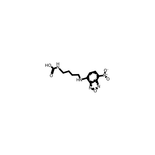 O=C(O)NCCCCNc1ccc([N+](=O)[O-])c2nonc12